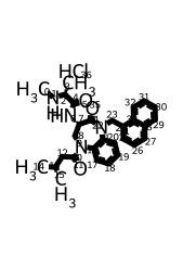 CN[C@@H](C)C(=O)N[C@H]1CN(C(=O)CC(C)C)c2ccccc2N(Cc2cccc3ccccc23)C1=O.Cl